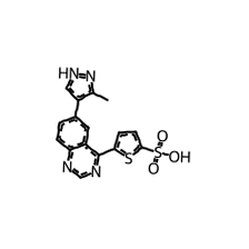 Cc1n[nH]cc1-c1ccc2ncnc(-c3ccc(S(=O)(=O)O)s3)c2c1